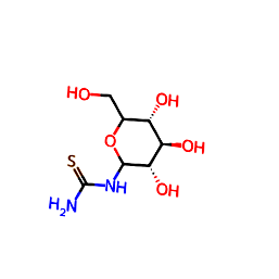 NC(=S)NC1OC(CO)[C@H](O)[C@@H](O)[C@@H]1O